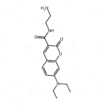 CCN(CC)c1ccc2cc(C(=O)NCCN)c(=O)oc2c1